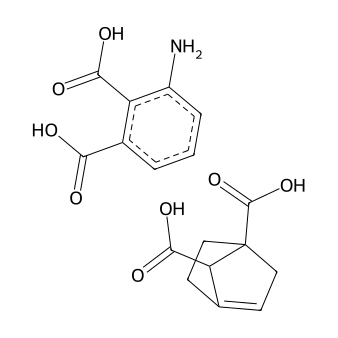 Nc1cccc(C(=O)O)c1C(=O)O.O=C(O)C1C2=CCC1(C(=O)O)CC2